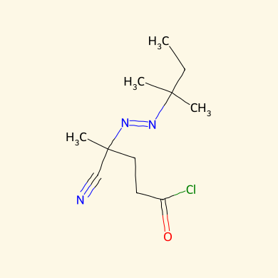 CCC(C)(C)N=NC(C)(C#N)CCC(=O)Cl